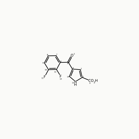 O=C(O)c1cc(C(=O)c2cccc(F)c2F)c[nH]1